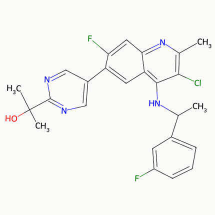 Cc1nc2cc(F)c(-c3cnc(C(C)(C)O)nc3)cc2c(NC(C)c2cccc(F)c2)c1Cl